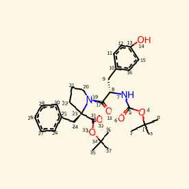 CC(C)(C)OC(=O)N[C@@H](Cc1ccc(O)cc1)C(=O)N1CCC[C@@]1(Cc1ccccc1)C(=O)OC(C)(C)C